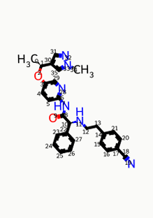 C[C@@H](Oc1ccc(NC(=O)[C@@H](NCCc2ccc(C#N)cc2)c2ccccc2)nc1)c1cnn(C)c1